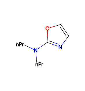 CCCN(CCC)c1ncco1